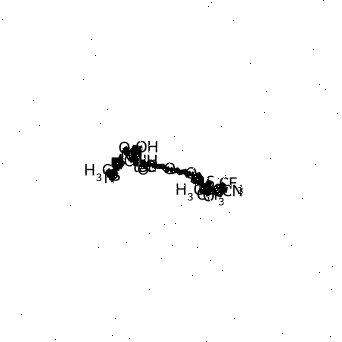 Cc1ncsc1-c1ccc(CNC(=O)[C@@H]2C[C@@H](O)CN2C(=O)C(NC(=O)COCCCCOCCCCCOc2ccc(N3C(=S)C(c4ccc(C#N)c(C(F)(F)F)c4)C(=O)C3(C)C)cc2)C(C)(C)C)cc1